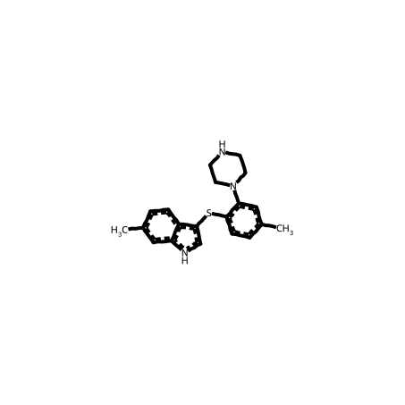 Cc1ccc(Sc2c[nH]c3cc(C)ccc23)c(N2CCNCC2)c1